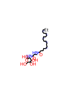 CC/C=C\C/C=C\C/C=C\C/C=C\C/C=C\CCCC(=O)NCCC(=O)NC1C(O)[C@H](O)C(CO)O[C@H]1O